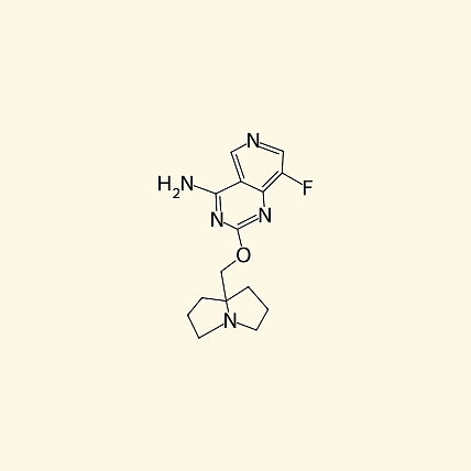 Nc1nc(OCC23CCCN2CCC3)nc2c(F)cncc12